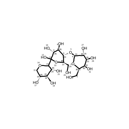 OC[C@H]1O[C@@H](O[C@H]2[C@H](O)[C@@H](O)C(O)(C3OC[C@@H](O)[C@H](O)[C@H]3O)O[C@@H]2CO)[C@H](O)[C@@H](O)[C@H]1O